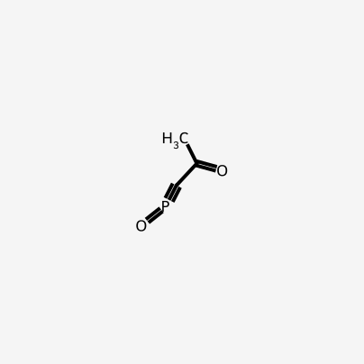 CC(=O)C#P=O